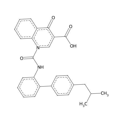 CC(C)Cc1ccc(-c2ccccc2NC(=O)n2cc(C(=O)O)c(=O)c3ccccc32)cc1